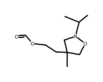 CC(C)N1CC(C)(CCOC=O)CO1